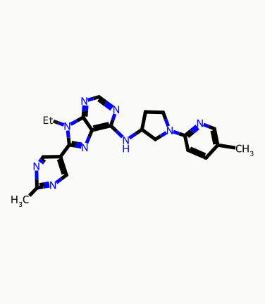 CCn1c(-c2cnc(C)nc2)nc2c(NC3CCN(c4ccc(C)cn4)C3)ncnc21